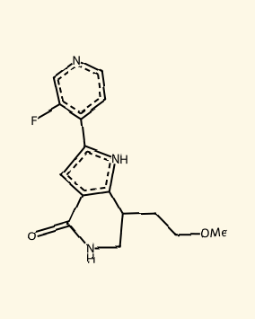 COCCC1CNC(=O)c2cc(-c3ccncc3F)[nH]c21